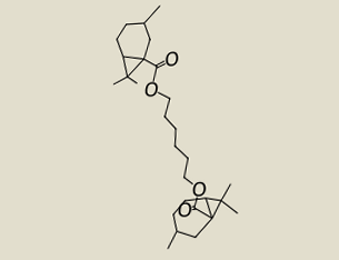 CC1CCC2C(C)(C)C2(C(=O)OCCCCCCOC(=O)C23CC(C)CCC2C3(C)C)C1